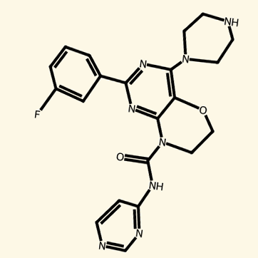 O=C(Nc1ccncn1)N1CCOc2c(N3CCNCC3)nc(-c3cccc(F)c3)nc21